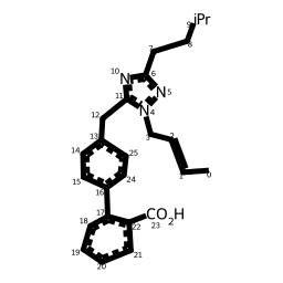 CC=CCn1nc(CCC(C)C)nc1Cc1ccc(-c2ccccc2C(=O)O)cc1